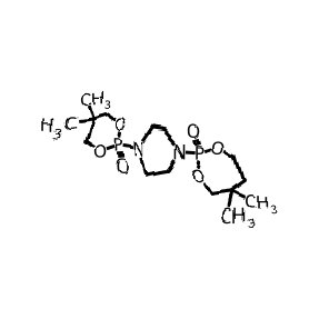 CC1(C)CCOP(=O)(N2CCN(P3(=O)OCC(C)(C)CO3)CC2)OC1